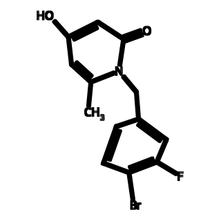 Cc1cc(O)cc(=O)n1Cc1ccc(Br)c(F)c1